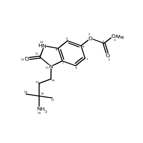 COC(=O)Oc1ccc2c(c1)[nH]c(=O)n2CCC(C)(C)N